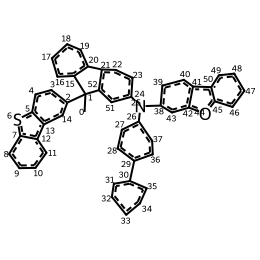 CC1(c2ccc3sc4ccccc4c3c2)c2ccccc2-c2ccc(N(c3ccc(-c4ccccc4)cc3)c3ccc4c(c3)oc3ccccc34)cc21